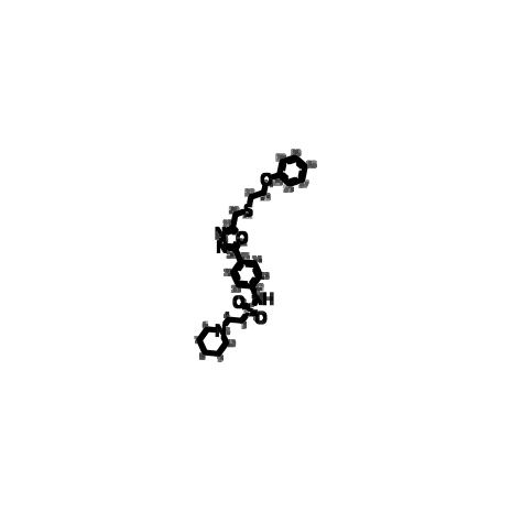 O=S(=O)(CCN1CCCCC1)Nc1ccc(-c2nnc(CSCCOc3ccccc3)o2)cc1